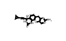 Nc1ncc(Cl)c(Cc2ccc3c(c2)NC(=O)N[C@]3(C#CC2CC2)C(F)(F)F)n1